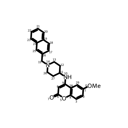 COc1ccc2oc(=O)cc(NC3CCN(Cc4ccc5ccccc5c4)CC3)c2c1